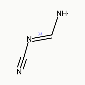 N#C/N=C/[NH]